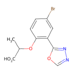 CC(Oc1ccc(Br)cc1-c1nnco1)C(=O)O